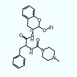 CCOC1Oc2ccccc2C[C@@H]1NC(=O)C(Cc1ccccc1)NC(=O)N1CCN(C)CC1